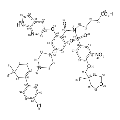 CC1(C)CCC(CN2CCN(c3ccc(C(=O)N(CCCCC(=O)O)S(=O)(=O)c4ccc(OCC5(F)CCOCC5)c([N+](=O)[O-])c4)c(Oc4cnc5[nH]ccc5c4)c3)CC2)=C(c2ccc(Cl)cc2)C1